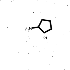 NC1CCCC1.[Pt]